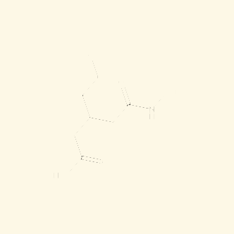 CCCC(CC(C)=O)CC(=O)NC